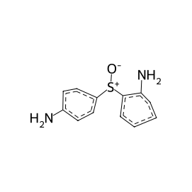 Nc1ccc([S+]([O-])c2ccccc2N)cc1